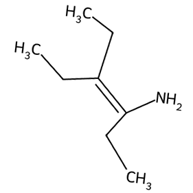 CCC(N)=C(CC)CC